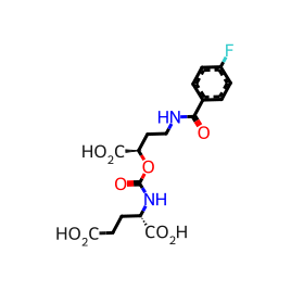 O=C(O)CC[C@H](NC(=O)O[C@H](CCNC(=O)c1ccc(F)cc1)C(=O)O)C(=O)O